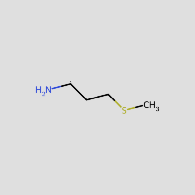 CSCC[CH]N